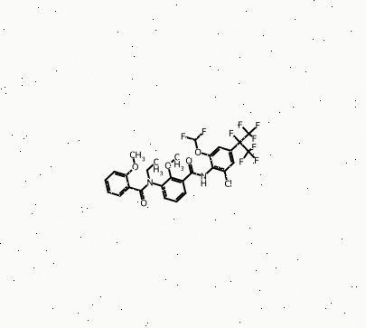 CCN(C(=O)c1ccccc1OC)c1cccc(C(=O)Nc2c(Cl)cc(C(F)(C(F)(F)F)C(F)(F)F)cc2OC(F)F)c1OC